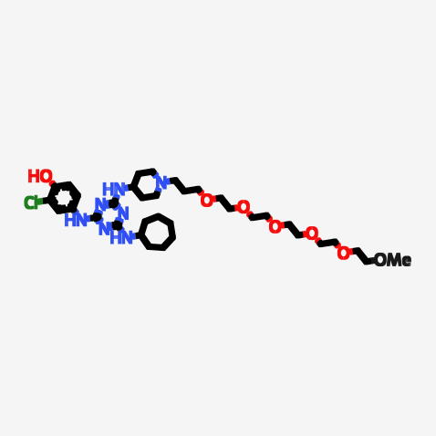 COCCOCCOCCOCCOCCOCCCN1CCC(Nc2nc(Nc3ccc(O)c(Cl)c3)nc(NC3CCCCCC3)n2)CC1